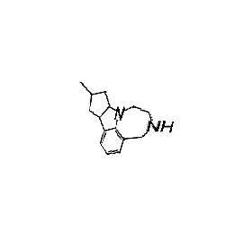 CC1CC2c3cccc4c3N(CCNC4)C2C1